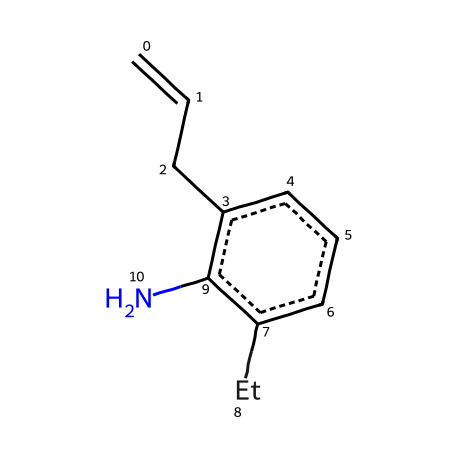 C=CCc1cccc(CC)c1N